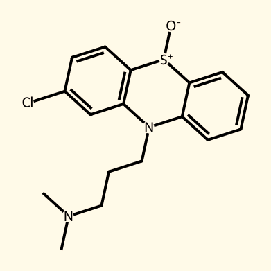 CN(C)CCCN1c2ccccc2[S+]([O-])c2ccc(Cl)cc21